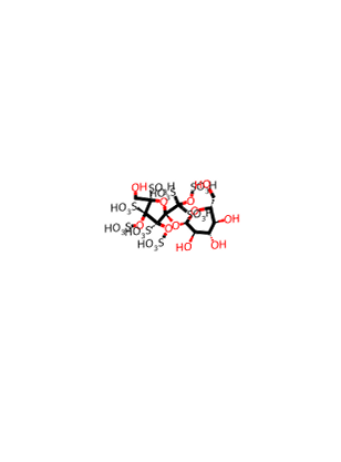 O=S(=O)(O)OC([C@@]1(O[C@H]2O[C@H](CO)[C@@H](O)[C@H](O)[C@H]2O)O[C@@](CO)(S(=O)(=O)O)[C@](OS(=O)(=O)O)(S(=O)(=O)O)[C@@]1(OS(=O)(=O)O)S(=O)(=O)O)(S(=O)(=O)O)S(=O)(=O)O